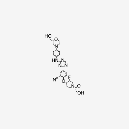 N#Cc1cc(-c2ncnc(Nc3ccc(N4CCOC(CO)C4)cc3)n2)ccc1O[C@H]1CCN(C(=O)CO)CC1F